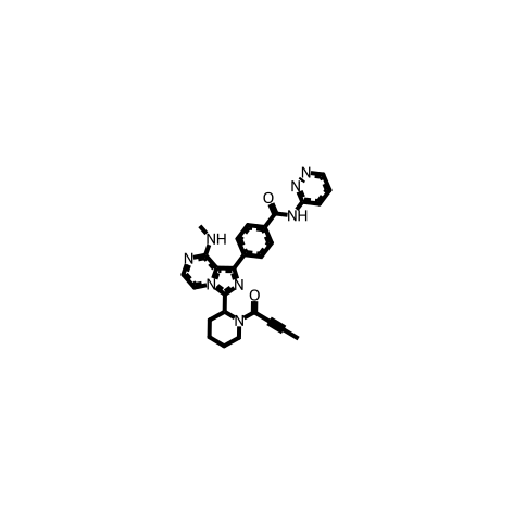 CC#CC(=O)N1CCCCC1c1nc(-c2ccc(C(=O)Nc3cccnn3)cc2)c2c(NC)nccn12